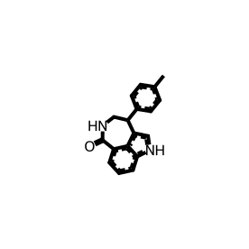 Cc1ccc(C2CNC(=O)c3cccc4[nH]cc2c34)cc1